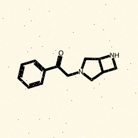 O=C(CN1CC2CNC2C1)c1ccccc1